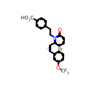 O=C(O)c1ccc(CCn2c(/C=C\c3cccc(OC(F)(F)F)c3)c(Br)ccc2=O)cc1